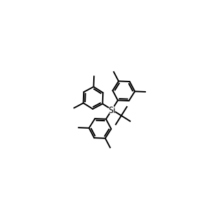 Cc1cc(C)cc([Si](c2cc(C)cc(C)c2)(c2cc(C)cc(C)c2)C(C)(C)C)c1